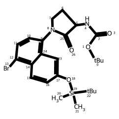 CC(C)(C)OC(=O)NC1CCN(c2ccc(Br)c3ccc(O[Si](C)(C)C(C)(C)C)cc23)C1=O